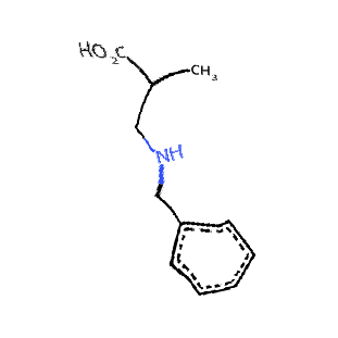 CC(CNCc1ccccc1)C(=O)O